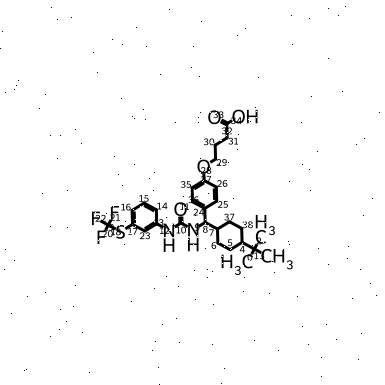 CC(C)(C)C1CCC(C(NC(=O)Nc2cccc(SC(F)(F)F)c2)c2ccc(OCCCC(=O)O)cc2)CC1